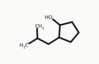 CC(C)CC1CCCC1O